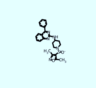 Cc1noc(C)c1[S+]([O-])N1CCC(Nc2nc(-c3ccccc3)c3ccccc3n2)CC1